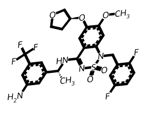 COc1cc2c(cc1O[C@H]1CCOC1)C(N[C@H](C)c1cc(N)cc(C(F)(F)F)c1)=NS(=O)(=O)N2Cc1cc(F)ccc1F